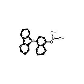 OB(O)Oc1ccc(-n2c3ccccc3c3ccccc32)c2ccccc12